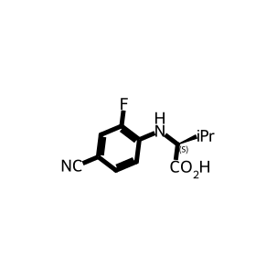 CC(C)[C@H](Nc1ccc(C#N)cc1F)C(=O)O